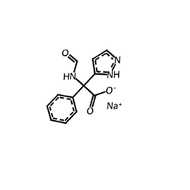 O=CNC(C(=O)[O-])(c1ccccc1)c1ccn[nH]1.[Na+]